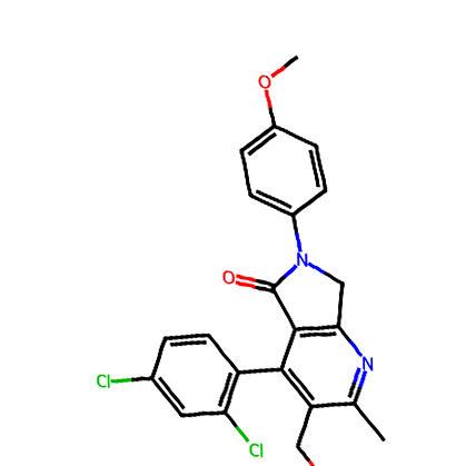 COc1ccc(N2Cc3nc(C)c(CO)c(-c4ccc(Cl)cc4Cl)c3C2=O)cc1